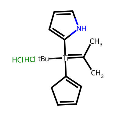 C[C](C)=[Ti]([C]1=CC=CC1)([c]1ccc[nH]1)[C](C)(C)C.Cl.Cl